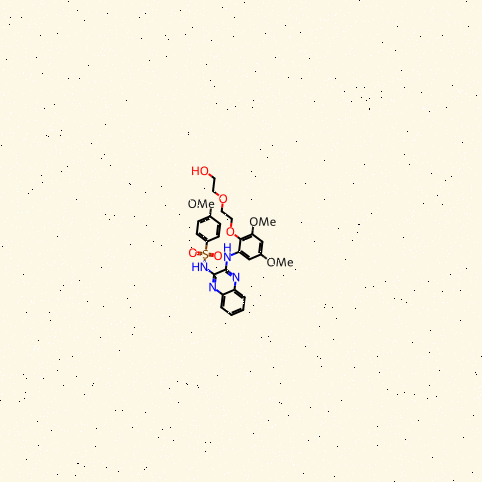 COc1ccc(S(=O)(=O)Nc2nc3ccccc3nc2Nc2cc(OC)cc(OC)c2OCCOCCO)cc1